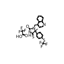 C[C@@]1(c2ccc(SC(F)(F)F)cc2)C(=S)NC(=O)N1Cc1ccnc2ccccc12.O=C(O)C(F)(F)F